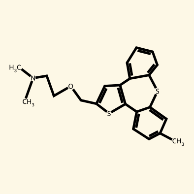 Cc1ccc2c(c1)Sc1ccccc1-c1cc(COCCN(C)C)sc1-2